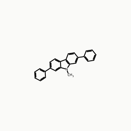 Cn1c2cc(-c3ccccc3)ccc2c2ccc(-c3ccccc3)cc21